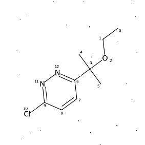 CCOC(C)(C)c1ccc(Cl)nn1